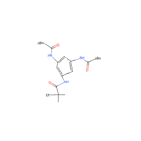 CCCCC(=O)Nc1cc(NC(=O)CCCC)cc(NC(=O)C(C)(C)CC)c1